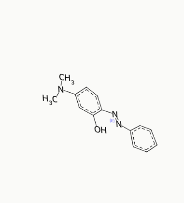 CN(C)c1ccc(/N=N/c2ccccc2)c(O)c1